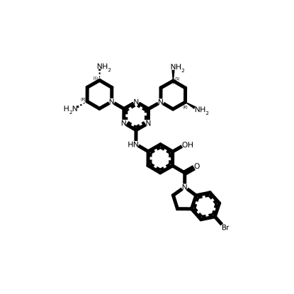 N[C@@H]1C[C@H](N)CN(c2nc(Nc3ccc(C(=O)N4CCc5cc(Br)ccc54)c(O)c3)nc(N3C[C@H](N)C[C@H](N)C3)n2)C1